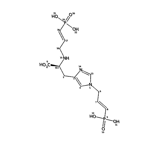 O=C(O)[C@H](Cc1cn(CC=CP(=O)(O)O)cn1)NCC=CP(=O)(O)O